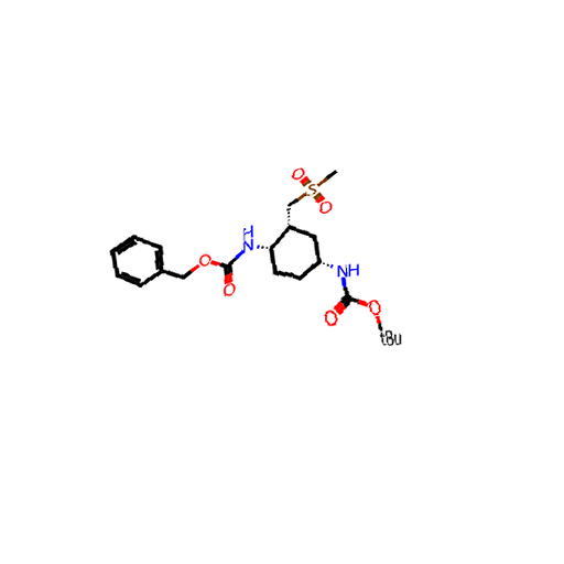 CC(C)(C)OC(=O)N[C@@H]1CC[C@H](NC(=O)OCc2ccccc2)[C@H](CS(C)(=O)=O)C1